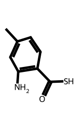 Cc1ccc(C(=O)S)c(N)c1